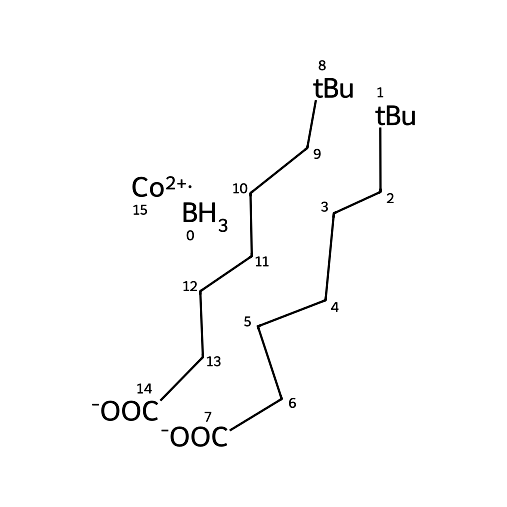 B.CC(C)(C)CCCCCC(=O)[O-].CC(C)(C)CCCCCC(=O)[O-].[Co+2]